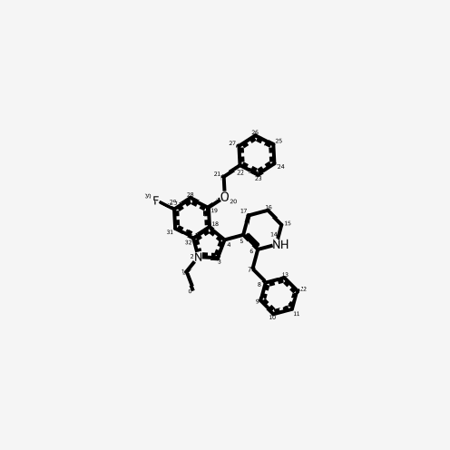 CCn1cc(C2=C(Cc3ccccc3)NCCC2)c2c(OCc3ccccc3)cc(F)cc21